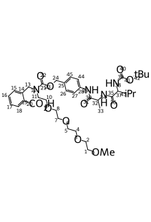 COCCOCCOCCOCCN(Cc1ccccc1C(=O)O)C(=O)OCc1ccc(NC(=O)C(C)NC(=O)C(NC(=O)OC(C)(C)C)C(C)C)cc1